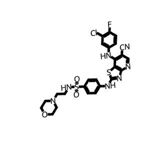 N#Cc1cnc2nc(Nc3ccc(S(=O)(=O)NCCN4CCOCC4)cc3)sc2c1Nc1ccc(F)c(Cl)c1